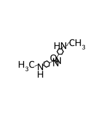 CCCNc1ccc(-c2nnc(-c3ccc(NCCC)cc3)o2)cc1